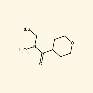 CN(CC(C)(C)C)C(=O)C1CCOCC1